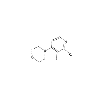 Fc1c(N2CCOCC2)ccnc1Cl